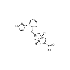 O=C(O)N1C[C@H]2C[C@H](Oc3ccccc3-c3cc[nH]n3)C[C@H]2C1